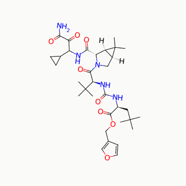 CC(C)(C)C[C@H](NC(=O)N[C@H](C(=O)N1C[C@H]2[C@@H]([C@H]1C(=O)NC(C(=O)C(N)=O)C1CC1)C2(C)C)C(C)(C)C)C(=O)OCc1ccoc1